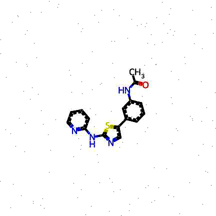 CC(=O)Nc1cccc(-c2cnc(Nc3ccccn3)s2)c1